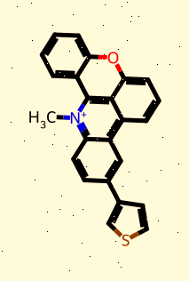 C[n+]1c2c3c(cccc3c3cc(-c4ccsc4)ccc31)Oc1ccccc1-2